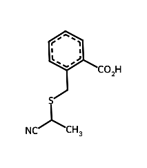 CC(C#N)SCc1ccccc1C(=O)O